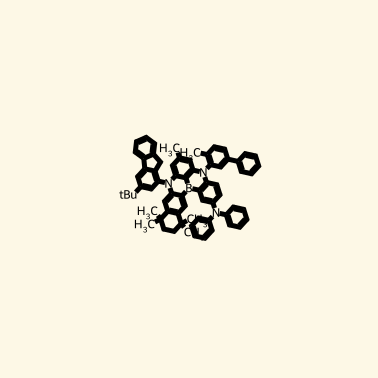 Cc1cc2c3c(c1)N(c1cc(C(C)(C)C)cc4c1Cc1ccccc1-4)c1cc4c(cc1B3c1cc(N(c3ccccc3)c3ccccc3)ccc1N2c1cc(-c2ccccc2)ccc1C)C(C)(C)CCC4(C)C